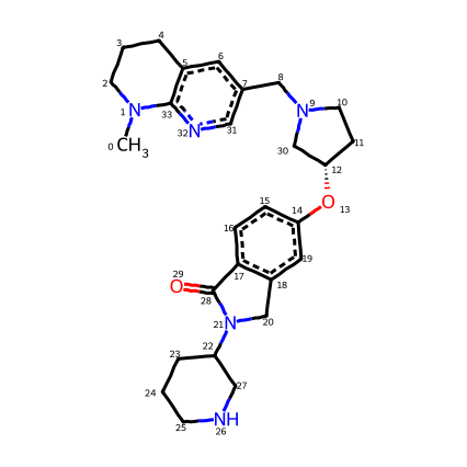 CN1CCCc2cc(CN3CC[C@H](Oc4ccc5c(c4)CN(C4CCCNC4)C5=O)C3)cnc21